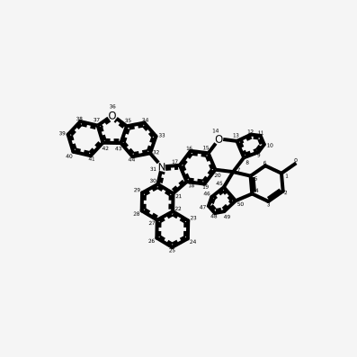 CC1C=CC2=C(C1)C1(c3ccccc3Oc3cc4c(cc31)c1c3ccccc3ccc1n4-c1ccc3oc4ccccc4c3c1)c1ccccc12